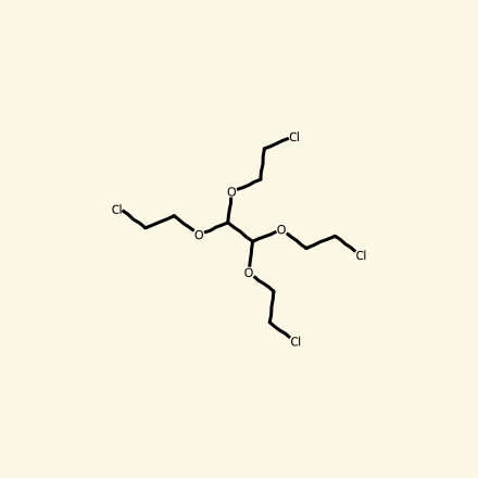 ClCCOC(OCCCl)C(OCCCl)OCCCl